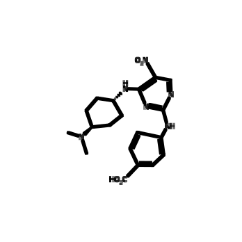 CN(C)[C@H]1CC[C@H](Nc2nc(Nc3ccc(C(=O)O)cc3)ncc2[N+](=O)[O-])CC1